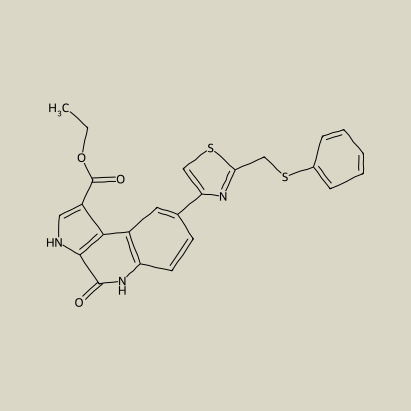 CCOC(=O)c1c[nH]c2c(=O)[nH]c3ccc(-c4csc(CSc5ccccc5)n4)cc3c12